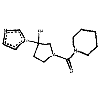 O=C(N1CCCCC1)N1CCC(S)(n2ccnc2)C1